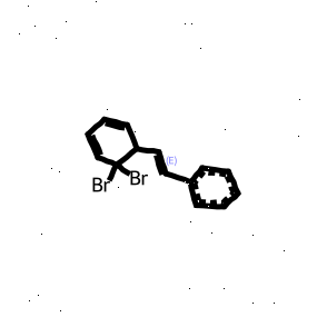 BrC1(Br)C=CC=CC1/C=C/c1ccccc1